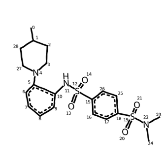 CC1CCN(c2ccccc2NS(=O)(=O)c2ccc(S(=O)(=O)N(C)C)cc2)CC1